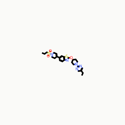 CCCS(=O)(=O)N1CC=C(c2ccc3nc(OC4CCN(c5ncc(CC)cn5)CC4)sc3c2)CC1